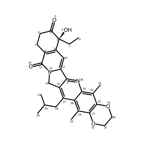 CC[C@@]1(O)C(=O)CCc2c1cc1n(c2=O)Cc2c-1nc1c(C)c3c(c(C)c1c2CC(C)C)OCCO3